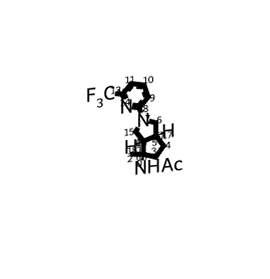 CC(=O)N[C@]1(C)CC[C@@H]2CN(c3cccc(C(F)(F)F)n3)C[C@@H]21